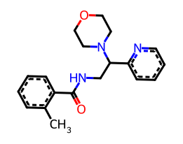 Cc1ccccc1C(=O)NCC(c1ccccn1)N1CCOCC1